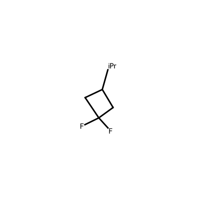 CC(C)C1CC(F)(F)C1